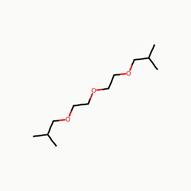 CC(C)COCCOCCOCC(C)C